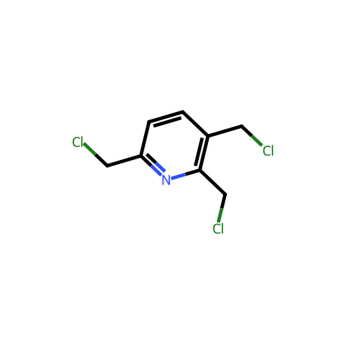 ClCc1ccc(CCl)c(CCl)n1